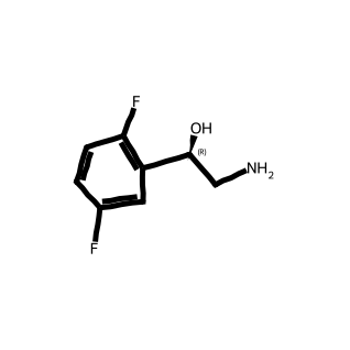 NC[C@H](O)c1cc(F)ccc1F